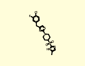 Cc1cnc(S(=O)(=O)C2CCN(c3nc(Cc4ccc(Cl)c(F)c4)cs3)CC2)[nH]1